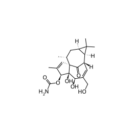 CC1=C[C@]23C(=O)[C@@H](C=C(CO)[C@@H](O)[C@]2(O)[C@H]1OC(N)=O)[C@H]1[C@@H](C[C@H]3C)C1(C)C